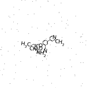 Cc1cc(-c2ccc(OC[C@H](CC(C)C)OC(N)=O)c(C#N)c2)ccn1